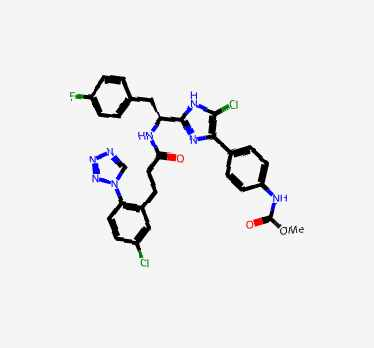 COC(=O)Nc1ccc(-c2nc([C@H](Cc3ccc(F)cc3)NC(=O)CCc3cc(Cl)ccc3-n3cnnn3)[nH]c2Cl)cc1